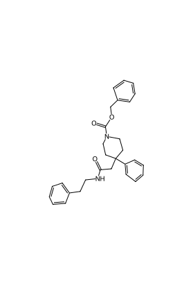 O=C(CC1(c2ccccc2)CCN(C(=O)OCc2ccccc2)CC1)NCCc1ccccc1